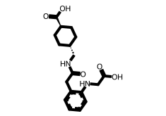 O=C(O)CNc1ccccc1CC(=O)NC[C@H]1CC[C@H](C(=O)O)CC1